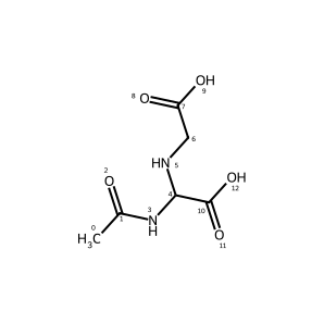 CC(=O)NC(NCC(=O)O)C(=O)O